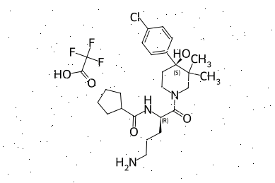 CC1(C)CN(C(=O)[C@@H](CCCN)NC(=O)C2CCCC2)CC[C@]1(O)c1ccc(Cl)cc1.O=C(O)C(F)(F)F